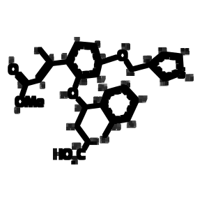 COC(=O)C=C(C)c1ccc(OCc2ccsc2)cc1OC(CCC(=O)O)c1ccccc1C